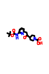 CC(C)(C)OC(=O)Nc1cccc(CC(=O)C2CCN(C(=O)O)CC2)n1